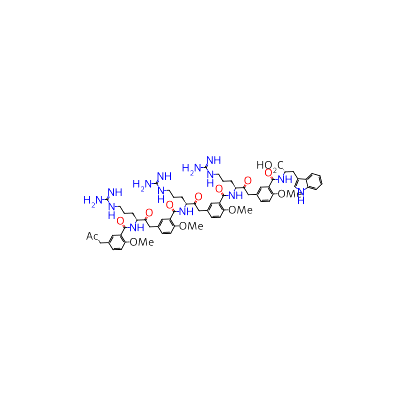 COc1ccc(CC(=O)[C@H](CCCNC(=N)N)NC(=O)c2cc(CC(=O)[C@H](CCCNC(=N)N)NC(=O)c3cc(CC(=O)[C@H](CCCNC(=N)N)NC(=O)c4cc(CC(C)=O)ccc4OC)ccc3OC)ccc2OC)cc1C(=O)N[C@@H](Cc1c[nH]c2ccccc12)C(=O)O